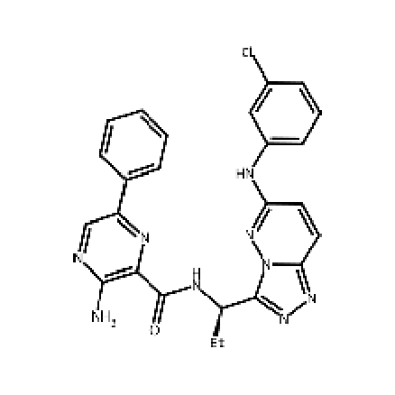 CC[C@@H](NC(=O)c1nc(-c2ccccc2)cnc1N)c1nnc2ccc(Nc3cccc(Cl)c3)nn12